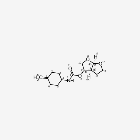 C=C1CCC(NC(=O)O[C@H]2CO[C@H]3OCC[C@H]32)CC1